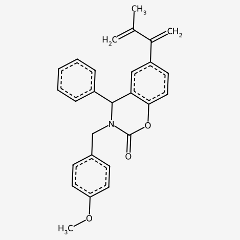 C=C(C)C(=C)c1ccc2c(c1)C(c1ccccc1)N(Cc1ccc(OC)cc1)C(=O)O2